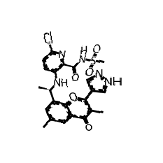 Cc1cc([C@@H](C)Nc2ccc(Cl)nc2C(=O)NS(C)(=O)=O)c2oc(-c3cn[nH]c3)c(C)c(=O)c2c1